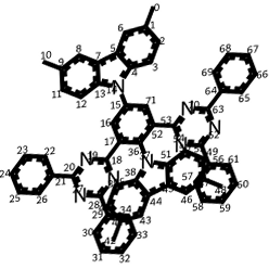 Cc1ccc2c(c1)c1cc(C)ccc1n2-c1cc(-c2nc(-c3ccccc3)nc(-c3ccccc3)n2)c(-n2c3ccc(C)cc3c3cc(C)ccc32)c(-c2nc(-c3ccccc3)nc(-c3ccccc3)n2)c1